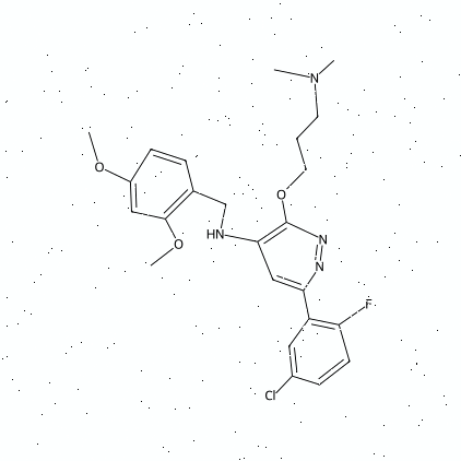 COc1ccc(CNc2cc(-c3cc(Cl)ccc3F)nnc2OCCCN(C)C)c(OC)c1